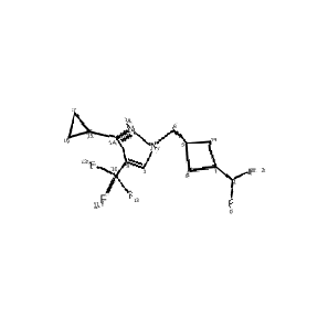 FC(F)C1CC(Cn2cc(C(F)(F)F)c(C3CC3)n2)C1